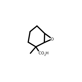 CC1(C(=O)O)CCCC2OC21